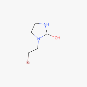 OC1NCCN1CCBr